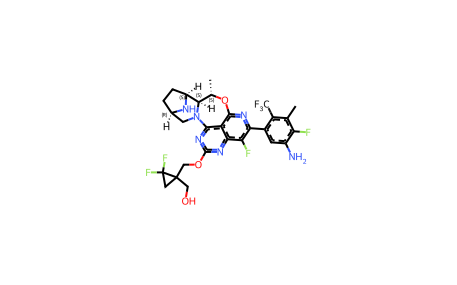 Cc1c(F)c(N)cc(-c2nc3c4c(nc(OCC5(CO)CC5(F)F)nc4c2F)N2C[C@H]4CC[C@H](N4)[C@H]2[C@H](C)O3)c1C(F)(F)F